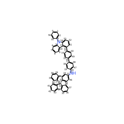 c1ccc(-n2c3ccccc3c3c(-c4ccc(-c5ccc(Nc6ccc([Si](c7ccccc7)(c7ccccc7)c7ccccc7)cc6)cc5)cc4)cccc32)cc1